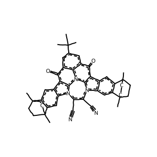 CC(C)(C)c1cc2c(=O)c3c4cc5c(cc4n4c(C#N)c(C#N)n6c7cc8c(cc7c7c(=O)c(c1)c2n(c34)c76)C1(C)CCC8(C)CC1)C1(C)CCC5(C)CC1